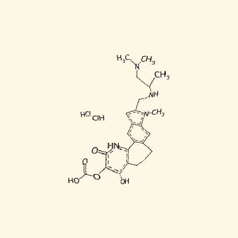 CC(CN(C)C)NCc1cc2cc3c(cc2n1C)CCCc1c-3[nH]c(=O)c(OC(=O)O)c1O.Cl.Cl